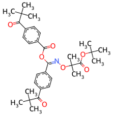 CC(C)(C)OC(=O)C(C)(C)ON=C(OC(=O)c1ccc(C(=O)C(C)(C)C)cc1)c1ccc(C(=O)C(C)(C)C)cc1